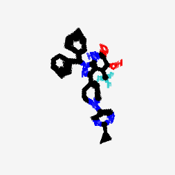 O=C1Nc2c(c(C3CCN(c4cnc(C5CC5)nc4)CC3)nn2C(c2ccccc2)c2ccccc2)C(C(F)(F)F)C1O